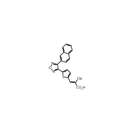 N#C/C(=C\c1ccc(-c2nonc2-c2ccc3ccccc3c2)s1)C(=O)O